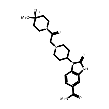 CNC(=O)c1ccc2c(c1)[nH]c(=O)n2C1CCN(CC(=O)N2CCC(C)(OC)CC2)CC1